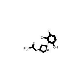 NC(=O)C[C@@H]1CN[C@@H](c2c(O)ccc(Cl)c2Cl)C1